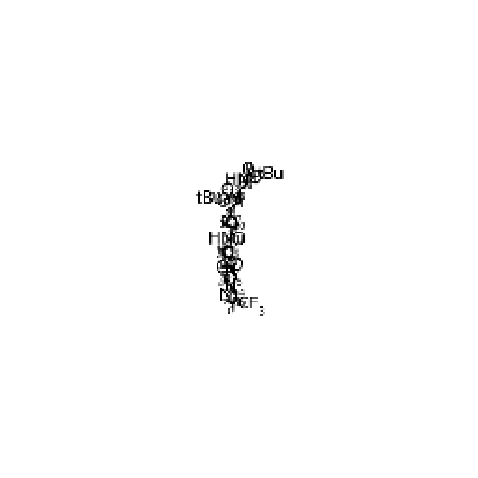 Cc1cnc(N2CCN(S(=O)(=O)c3ccc(NC(=O)c4ccc(CCN(CCCNC(=O)OC(C)(C)C)C(=O)OC(C)(C)C)cc4)cc3)CC2)cc1C(F)(F)F